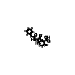 C=C1CS[C@@H]2[C@H](NC(=O)Cc3ccccc3)C(=O)N2[C@@H]1C(=O)O